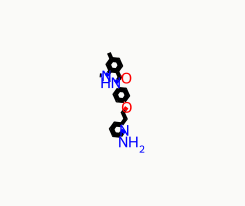 Cc1ccc(C(=O)Nc2ccc(OCCc3cccc(N)n3)cc2)c(N(C)C)c1